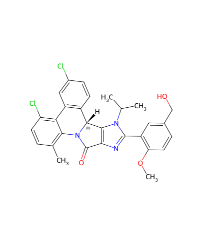 COc1ccc(CO)cc1-c1nc2c(n1C(C)C)[C@H]1c3ccc(Cl)cc3-c3c(Cl)ccc(C)c3N1C2=O